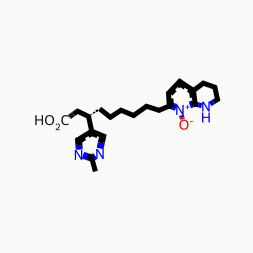 Cc1ncc([C@@H](CCCCCCc2ccc3c([n+]2[O-])NCCC3)CC(=O)O)cn1